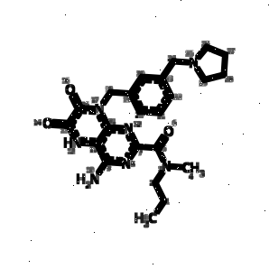 CCCN(C)C(=O)c1nc(N)c2[nH]c(=O)c(=O)n(Cc3cccc(CN4CCCC4)c3)c2n1